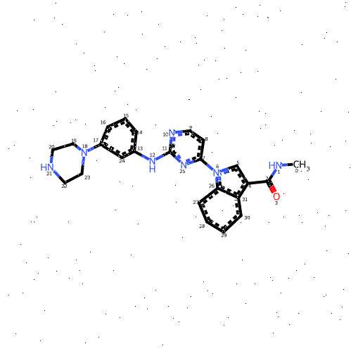 CNC(=O)c1cn(-c2ccnc(Nc3cccc(N4CCNCC4)c3)n2)c2ccccc12